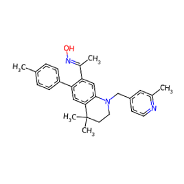 CC(=NO)c1cc2c(cc1-c1ccc(C)cc1)C(C)(C)CCN2Cc1ccnc(C)c1